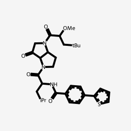 COC(CC(C)(C)C)C(=O)N1CC(=O)C2C1CCN2C(=O)C(CC(C)C)NC(=O)c1ccc(-c2cccs2)cc1